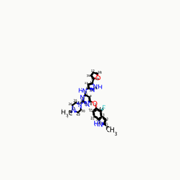 Cc1cc2c(F)c(Oc3cc(Nc4cc(-c5ccco5)[nH]n4)nc(N4CCN(C)CC4)n3)ccc2[nH]1